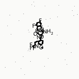 COc1ccc(-c2nc(C(=O)NCc3c(F)cc(F)cc3F)c([C@@H](N)O)o2)c2ccc(C(F)(F)F)nc12